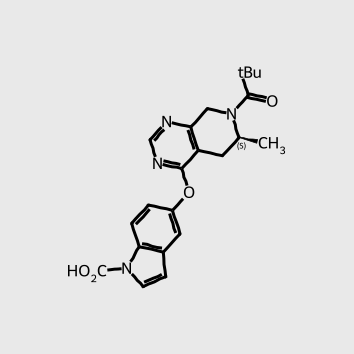 C[C@H]1Cc2c(ncnc2Oc2ccc3c(ccn3C(=O)O)c2)CN1C(=O)C(C)(C)C